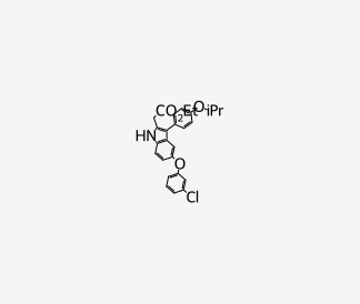 CCOC(=O)Cc1[nH]c2ccc(Oc3cccc(Cl)c3)cc2c1-c1ccc(OC(C)C)cc1